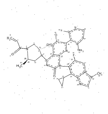 C=CC(=O)N1C[C@H](C)N(c2nc(=O)n(-c3c(F)cc4c(ncn4C)c3C3CC3)c3nc(-c4c(N)cccc4F)c(Cl)cc23)C[C@H]1C